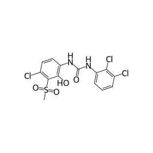 CS(=O)(=O)c1c(Cl)ccc(NC(=O)Nc2cccc(Cl)c2Cl)c1O